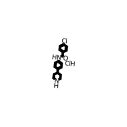 Cl.O=C(Nc1ccc(C2CCNCC2)cc1)c1ccc(Cl)cc1